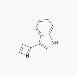 C1=CC(c2c[nH]c3ccccc23)=N1